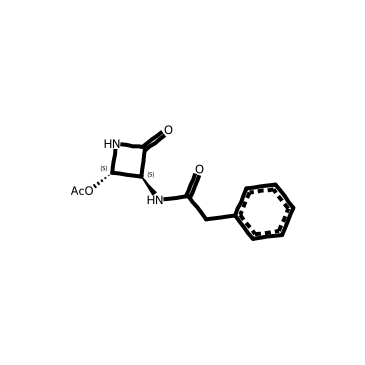 CC(=O)O[C@@H]1NC(=O)[C@H]1NC(=O)Cc1ccccc1